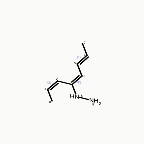 C\C=C/C(=C\C=C\C)NN